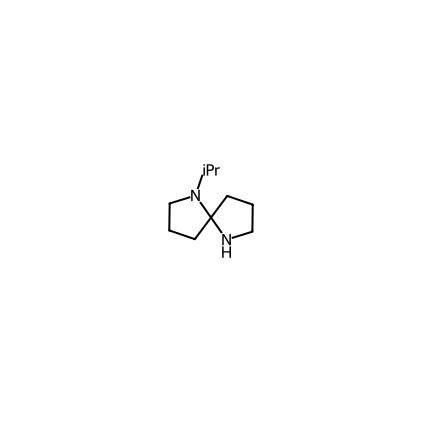 CC(C)N1CCCC12CCCN2